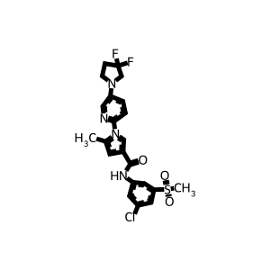 Cc1cc(C(=O)Nc2cc(Cl)cc(S(C)(=O)=O)c2)cn1-c1ccc(N2CCC(F)(F)C2)cn1